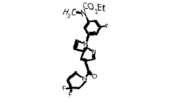 CCOC(=O)N(C)c1cc(F)cc(-n2ccc3cc(C(=O)N4CCC(F)(F)CC4)cnc32)c1